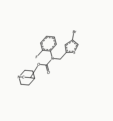 O=C(OC1CN2CCC1CC2)N(Cc1cc(Br)cs1)c1ccccc1F